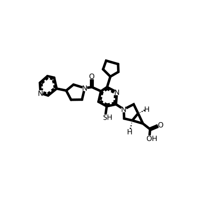 O=C(O)C1[C@H]2CN(c3nc(C4CCCC4)c(C(=O)N4CCC(c5cccnc5)C4)cc3S)C[C@@H]12